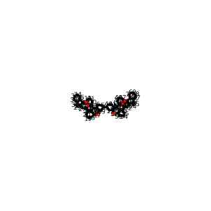 Cc1cc(-c2ccc(N(c3ccccc3)c3c(C)cccc3-c3ccc4c(c3)C(C)(C)c3ccccc3-4)c(C)c2)ccc1N(c1ccccc1)c1c(C)cccc1-c1ccc2c(c1)C(C)(C)c1ccccc1-2